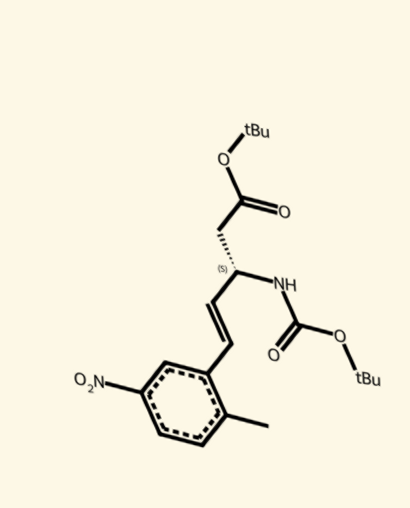 Cc1ccc([N+](=O)[O-])cc1C=C[C@H](CC(=O)OC(C)(C)C)NC(=O)OC(C)(C)C